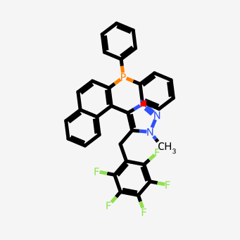 Cn1nnc(-c2c(P(c3ccccc3)c3ccccc3)ccc3ccccc23)c1Cc1c(F)c(F)c(F)c(F)c1F